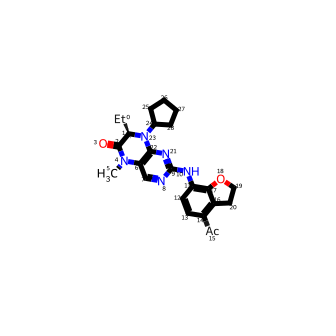 CC[C@@H]1C(=O)N(C)c2cnc(Nc3ccc(C(C)=O)c4c3OCC4)nc2N1C1CCCC1